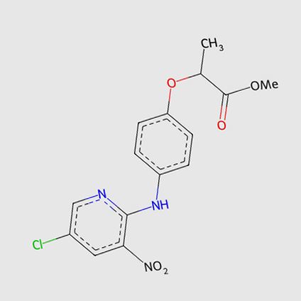 COC(=O)C(C)Oc1ccc(Nc2ncc(Cl)cc2[N+](=O)[O-])cc1